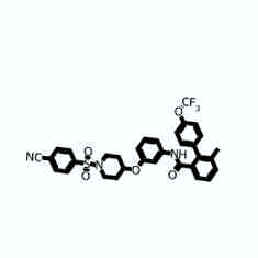 Cc1cccc(C(=O)Nc2cccc(OC3CCN(S(=O)(=O)c4ccc(C#N)cc4)CC3)c2)c1-c1ccc(OC(F)(F)F)cc1